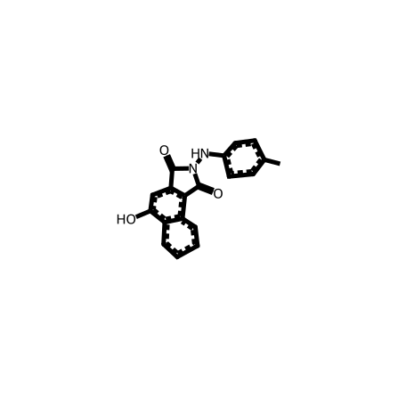 Cc1ccc(NN2C(=O)c3cc(O)c4ccccc4c3C2=O)cc1